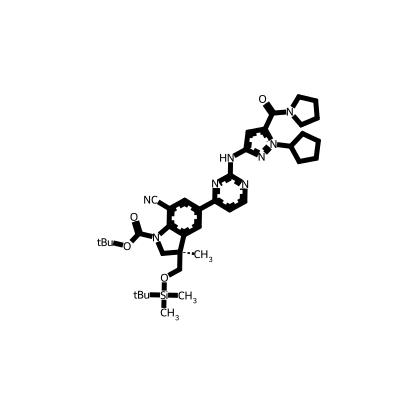 CC(C)(C)OC(=O)N1C[C@](C)(CO[Si](C)(C)C(C)(C)C)c2cc(-c3ccnc(Nc4cc(C(=O)N5CCCC5)n(C5CCCC5)n4)n3)cc(C#N)c21